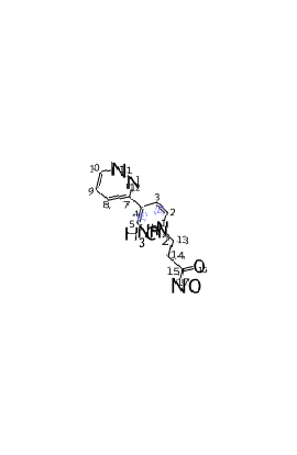 CN(/C=C\C(=C/N)c1cccnn1)CCC(=O)N=O